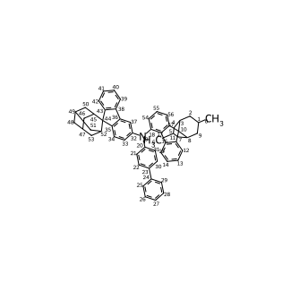 CC1CC2CC(C)CC(C1)C21c2ccccc2-c2c(N(c3ccc(-c4ccccc4)cc3)c3ccc4c(c3)-c3ccccc3C43C4CC5CC(C4)CC3C5)cccc21